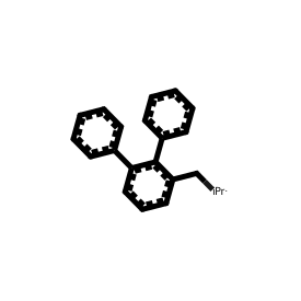 C[C](C)Cc1cccc(-c2ccccc2)c1-c1ccccc1